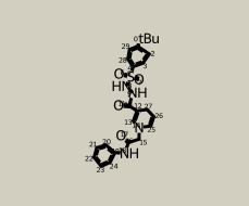 CC(C)(C)c1ccc(S(=O)(=O)NNC(=O)C2=CN(CC(=O)Nc3ccccc3)C=CC2)cc1